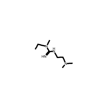 CCN(C)C(=N)NCCN(C)C